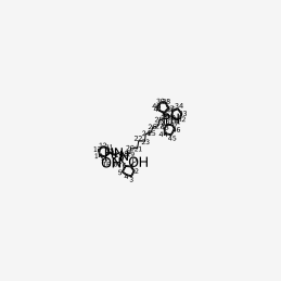 Oc1ccccc1C1=NC(c2ccccc2O)NN1CCCCCCCCCC[PH](c1ccccc1)(c1ccccc1)c1ccccc1